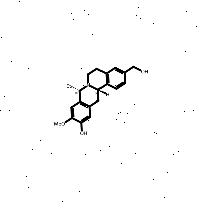 CC[C@H]1c2cc(OC)c(O)cc2C[C@H]2c3ccc(CO)cc3CCN12